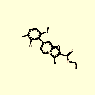 CCOC(=O)c1nc2cc(-c3c(OC)ccc(Cl)c3Cl)ccn2c1C